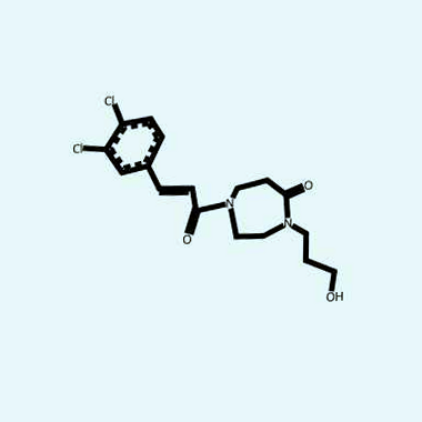 O=C(C=Cc1ccc(Cl)c(Cl)c1)N1CCC(=O)N(CCCO)CC1